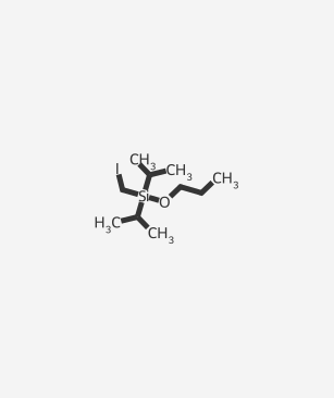 CCCO[Si](CI)(C(C)C)C(C)C